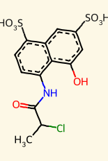 CC(Cl)C(=O)Nc1ccc(S(=O)(=O)O)c2cc(S(=O)(=O)O)cc(O)c12